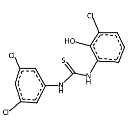 Oc1c(Cl)cccc1NC(=S)Nc1cc(Cl)cc(Cl)c1